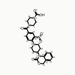 O=C(O)N1CCN(C(=O)c2ccc(N3CCC(N4C(=O)OCc5ccccc54)CC3)c([N+](=O)[O-])c2)CC1